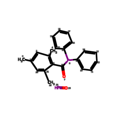 Cc1cc(C)c(C(=O)P(c2ccccc2)c2ccccc2)c(C)c1.O=P